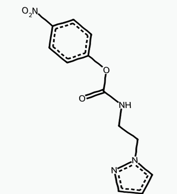 O=C(NCCn1cccn1)Oc1ccc([N+](=O)[O-])cc1